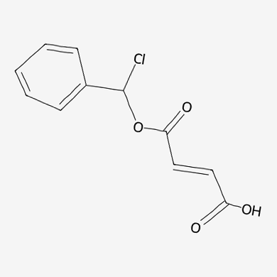 O=C(O)C=CC(=O)OC(Cl)c1ccccc1